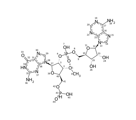 CO[C@H]1[C@@H](OP(=O)(O)OC[C@H]2O[C@@H](n3cnc4c(N)ncnc43)[C@H](O)[C@@H]2O)[C@H](n2cnc3c(=O)[nH]c(N)nc32)O[C@@H]1CO[PH](=O)O